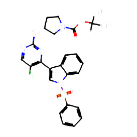 CC(C)(C)OC(=O)N1CC[C@@H](Nc2ncc(Cl)c(-c3cn(S(=O)(=O)c4ccccc4)c4ccccc34)n2)C1